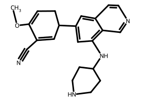 COC1=CCC(c2cc(NC3CCNCC3)c3cnccc3c2)C=C1C#N